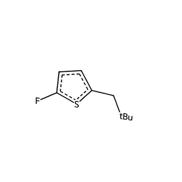 CC(C)(C)Cc1ccc(F)s1